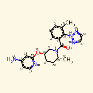 Cc1cccc(C(=O)N2C[C@H](Oc3cc(N)ccn3)CC[C@H]2C)c1-n1nccn1